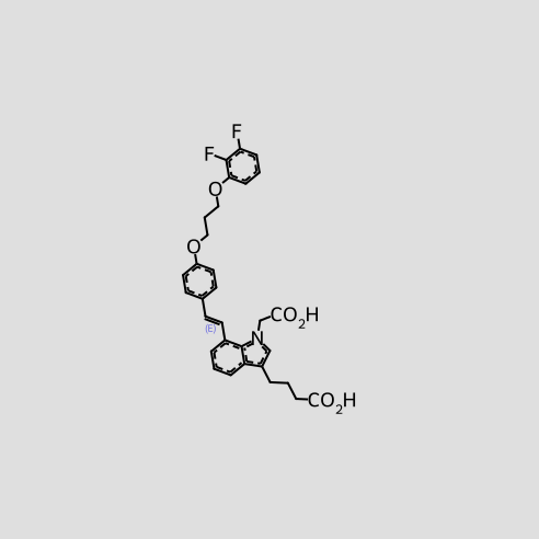 O=C(O)CCCc1cn(CC(=O)O)c2c(/C=C/c3ccc(OCCCOc4cccc(F)c4F)cc3)cccc12